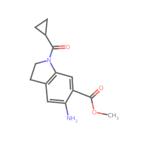 COC(=O)c1cc2c(cc1N)CCN2C(=O)C1CC1